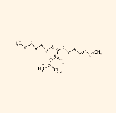 C=CC=CCCCC(C=CCC=CCC)C(=O)OC(=C)C